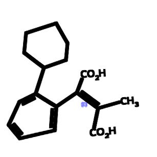 C/C(C(=O)O)=C(\C(=O)O)c1ccccc1C1CCCCC1